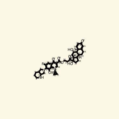 COc1c(N2CC3CCCNC3C2)c(F)cc2c(=O)c(C(=O)OC[CH]C(=O)[C@]3(O)CC[C@@H]4[C@H]5CCC6=CC(=O)C=C[C@@]6(C)C5[C@H](O)C[C@]43C)cn(C3CC3)c12